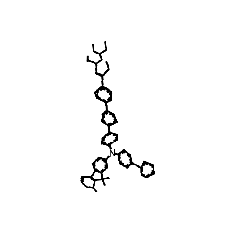 CCC(CC)CC(CC)CC(CC)c1ccc(-c2ccc(-c3ccc(N(c4ccc(-c5ccccc5)cc4)c4ccc5c(c4)C(C)(C)C4=C5C=CCC4C)cc3)cc2)cc1